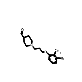 Cc1c(Br)cccc1OCCCN1CCC(C=O)CC1